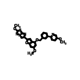 COc1ccc(-c2cccc(COc3cc(OC)cc4oc(-c5cn6nc(OC)sc6n5)cc34)c2)nc1